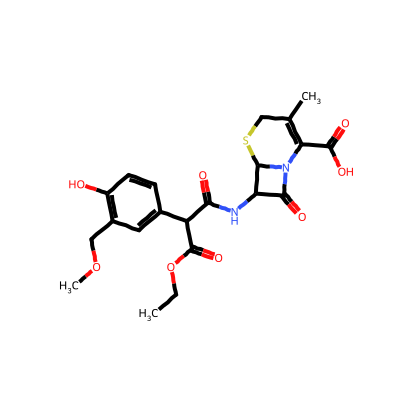 CCOC(=O)C(C(=O)NC1C(=O)N2C(C(=O)O)=C(C)CSC12)c1ccc(O)c(COC)c1